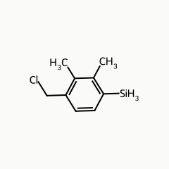 Cc1c([SiH3])ccc(CCl)c1C